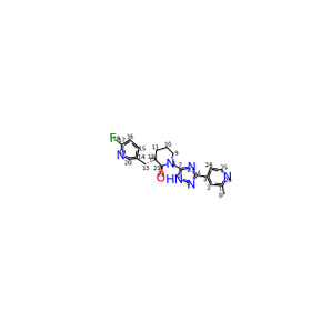 Cc1cc(-c2n[nH]c(N3CCC[C@@H](Cc4ccc(F)nc4)C3=O)n2)ccn1